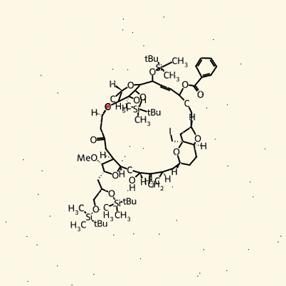 C=C1[C@H](C)C[C@H]2CC[C@@H]3O[C@@H](CCC(OC(=O)c4ccccc4)/C=C/C(O[Si](C)(C)C(C)(C)C)C4O[C@H]5CC[C@H](CC(=O)C[C@@H]6[C@@H](OC)[C@@H](CC(CO[Si](C)(C)C(C)(C)C)O[Si](C)(C)C(C)(C)C)O[C@H]6C[C@H]1O)OC5[C@H](O)C4O[Si](C)(C)C(C)(C)C)C[C@]3(CI)O2